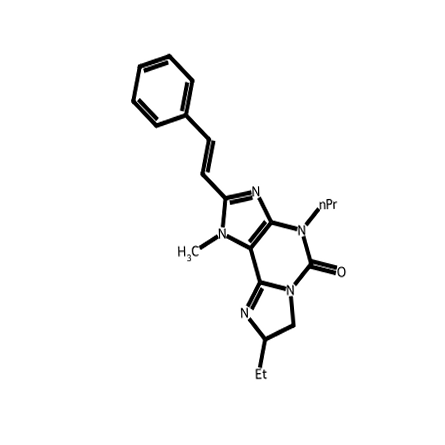 CCCN1C(=O)N2CC(CC)N=C2c2c1nc(C=Cc1ccccc1)n2C